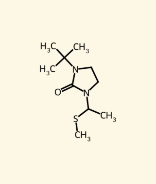 CSC(C)N1CCN(C(C)(C)C)C1=O